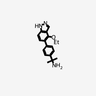 CCOc1c(-c2ccc(C(C)(C)N)cc2)ccc2[nH]ncc12